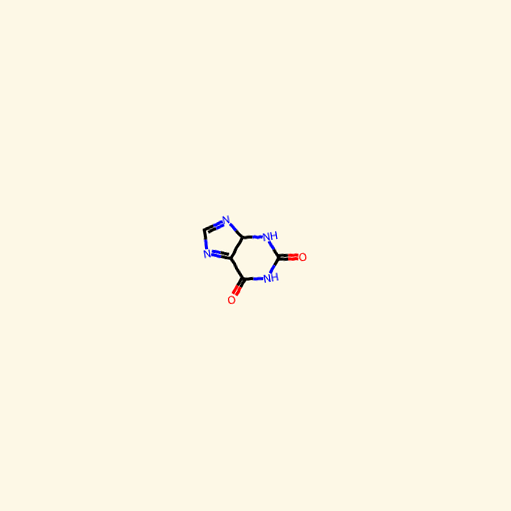 O=C1NC(=O)C2=NC=NC2N1